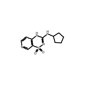 O=S1(=O)N=C(NC2CCCC2)Nc2ccncc21